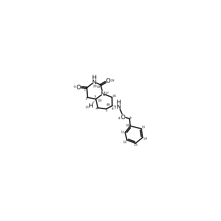 O=C1C[C@@H]2CC[C@@H](NOCc3ccccc3)CN2C(=O)N1